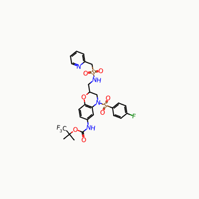 CC(C)(OC(=O)Nc1ccc2c(c1)N(S(=O)(=O)c1ccc(F)cc1)CC(CNS(=O)(=O)Cc1ccccn1)O2)C(F)(F)F